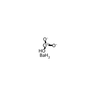 [BaH2].[O-][Cl+2]([O-])O